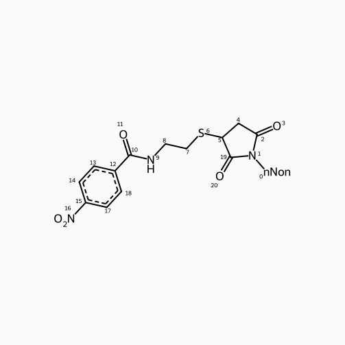 CCCCCCCCCN1C(=O)CC(SCCNC(=O)c2ccc([N+](=O)[O-])cc2)C1=O